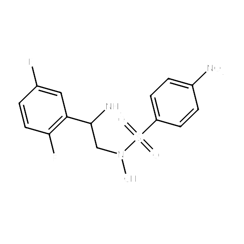 CN(CC(N)c1cc(F)ccc1F)S(=O)(=O)c1ccc([N+](=O)[O-])cc1